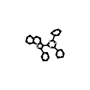 c1ccc(-c2nc(-c3ccccc3)nc(-c3c(-c4ccccc4)nn4c3ccc3ccccc34)n2)cc1